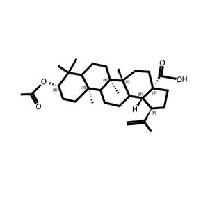 C=C(C)[C@@H]1CC[C@]2(C(=O)O)CC[C@]3(C)C(CCC4[C@@]5(C)CC[C@H](OC(C)=O)C(C)(C)C5CC[C@]43C)[C@@H]12